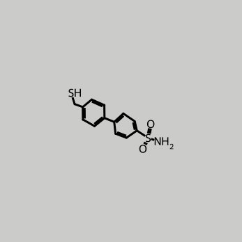 NS(=O)(=O)c1ccc(-c2ccc(CS)cc2)cc1